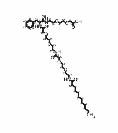 CCCCCCCCCCCC(=O)NCCOCCOCC(=O)NCCOCCOCC(=O)NC(Cc1ccccc1)C(=O)NCCOCCOCC(=O)O